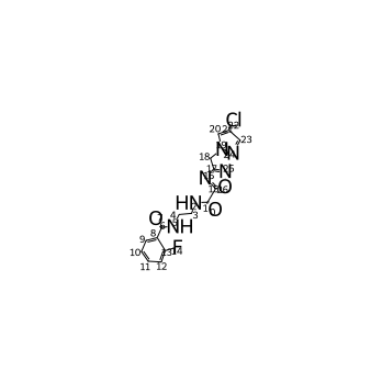 O=C(NCCNC(=O)c1ccccc1F)c1nc(Cn2cc(Cl)cn2)no1